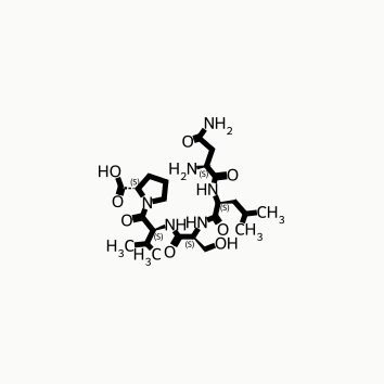 CC(C)C[C@H](NC(=O)[C@@H](N)CC(N)=O)C(=O)N[C@@H](CO)C(=O)N[C@H](C(=O)N1CCC[C@H]1C(=O)O)C(C)C